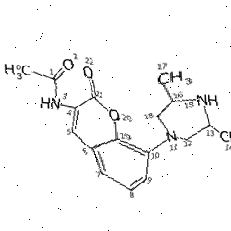 CC(=O)Nc1cc2cccc(N3CC(C)NC(C)C3)c2oc1=O